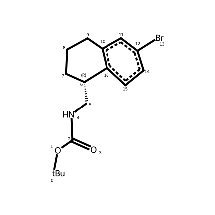 CC(C)(C)OC(=O)NC[C@@H]1CCCc2cc(Br)ccc21